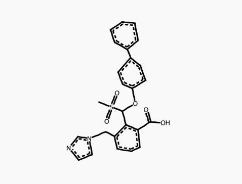 CS(=O)(=O)C(Oc1ccc(-c2ccccc2)cc1)c1c(Cn2ccnc2)cccc1C(=O)O